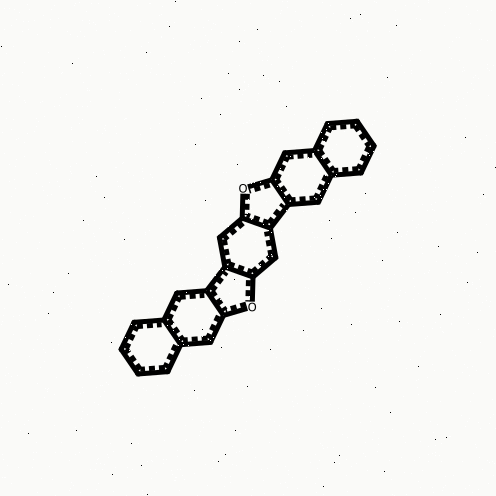 c1ccc2cc3c(cc2c1)oc1cc2c(cc13)oc1cc3ccccc3cc12